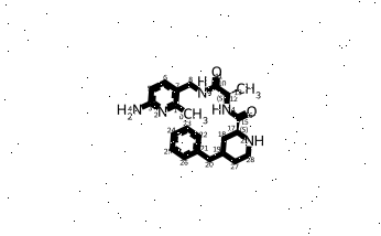 Cc1nc(N)ccc1CNC(=O)[C@H](C)NC(=O)[C@@H]1CC(Cc2ccccc2)CCN1